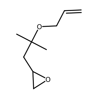 C=CCOC(C)(C)CC1CO1